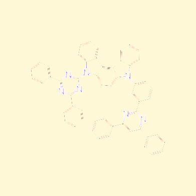 c1ccc(-c2cc(-c3ccccc3)nc(-c3cccc(-n4c5ccccc5c5c6c7ccccc7n(-c7nc(-c8ccccc8)nc(-c8ccccc8)n7)c6ccc54)c3)n2)cc1